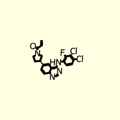 C=CC(=O)N1CC[C@H](c2ccc3ncnc(Nc4ccc(Cl)c(Cl)c4F)c3c2)C1